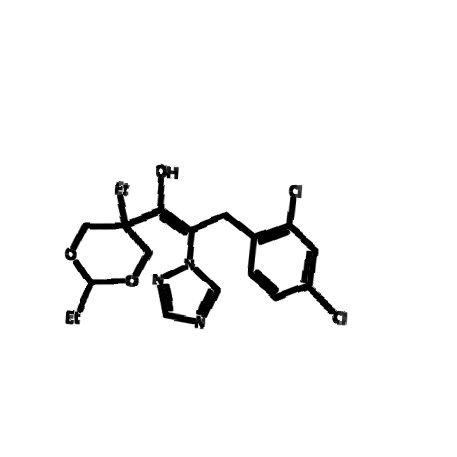 CCC1OCC(CC)(C(O)=C(Cc2ccc(Cl)cc2Cl)n2cncn2)CO1